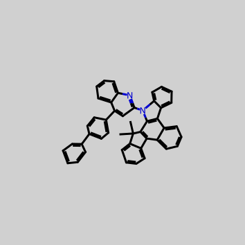 CC1(C)c2ccccc2-c2c1c1c(c3ccccc23)c2ccccc2n1-c1cc(-c2ccc(-c3ccccc3)cc2)c2ccccc2n1